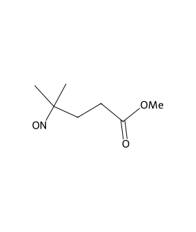 COC(=O)CCC(C)(C)N=O